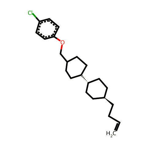 C=CCC[C@H]1CC[C@H](C2CCC(COc3ccc(Cl)cc3)CC2)CC1